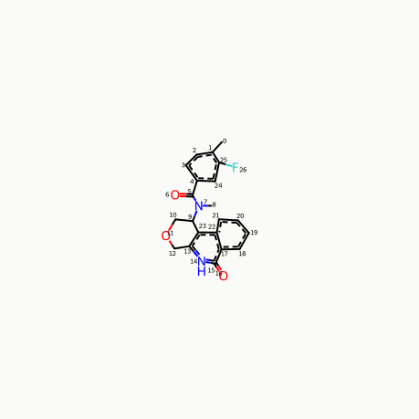 Cc1ccc(C(=O)N(C)C2COCc3[nH]c(=O)c4ccccc4c32)cc1F